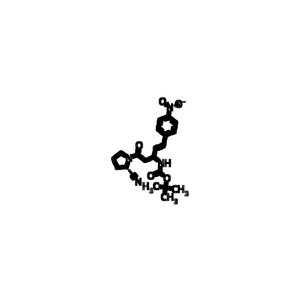 CC(C)(C)OC(=O)NC(C=Cc1ccc([N+](=O)[O-])cc1)CC(=O)N1CCC[C@H]1C#N